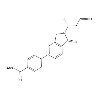 COC(=O)c1ccc(-c2ccc3c(c2)CN([C@H](C)CC=N)C3=O)cc1